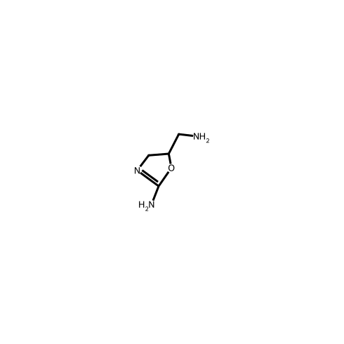 NCC1CN=C(N)O1